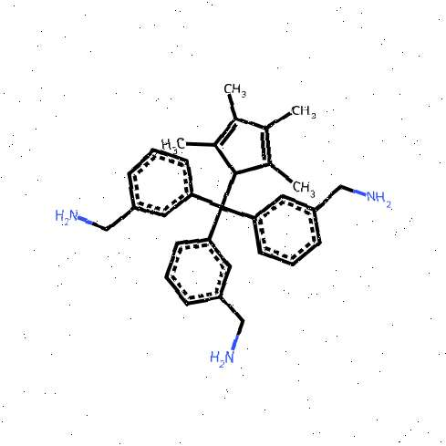 CC1=C(C)C(C)=C(C)[C]1C(c1cccc(CN)c1)(c1cccc(CN)c1)c1cccc(CN)c1